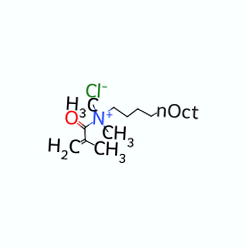 C=C(C)C(=O)[N+](C)(C)CCCCCCCCCCCC.[Cl-]